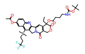 CCC1(OC(=O)CCCNC(=O)OC(C)(C)C)C(=O)OCc2c1cc1n(c2=O)Cc2c-1nc1ccc(OC(C)=O)cc1c2[Si](C)(C)CCC(F)(F)F